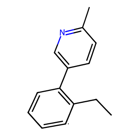 CCc1[c]cccc1-c1ccc(C)nc1